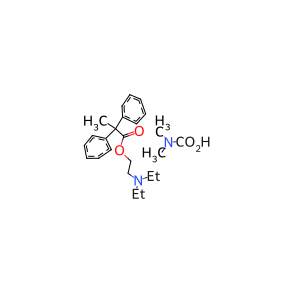 CCN(CC)CCOC(=O)C(C)(c1ccccc1)c1ccccc1.CN(C)C(=O)O